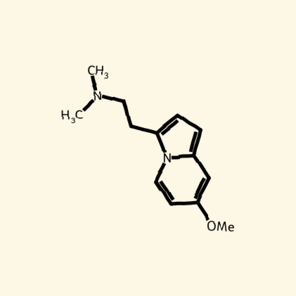 COc1ccn2c(CCN(C)C)ccc2c1